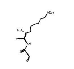 C=CC(=O)NC(C)CCCCCCCCCCCCCC.N